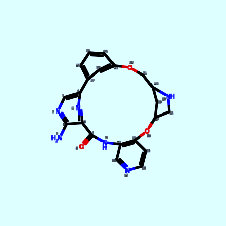 Nc1ncc2nc1C(=O)Nc1cnccc1OC1CNC(COc3cccc-2c3)C1